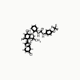 CC1(C)CN(c2ccccc2NC(=O)Nc2ccc(OC(F)(F)F)cc2)c2c(O)cc(F)c(-c3cn4ccc(Cl)cc4n3)c21